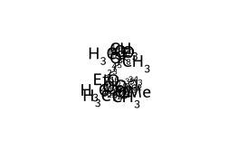 CCC(CCCCC1=C(C)C(=O)OC(C)(C)O1)OC1OC(C)(C)CC(C)(OC)C1OC(=O)c1ccccc1